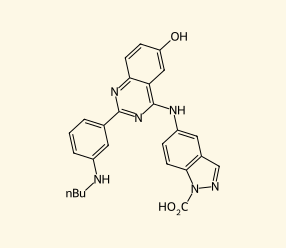 CCCCNc1cccc(-c2nc(Nc3ccc4c(cnn4C(=O)O)c3)c3cc(O)ccc3n2)c1